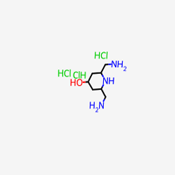 Cl.Cl.Cl.NCC1CC(O)CC(CN)N1